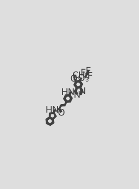 COc1cc2c(Nc3ccc(C=CC(=O)NC4Cc5ccccc5C4)cc3)ncnc2cc1OCC(F)(F)F